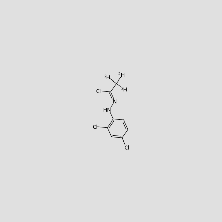 [2H]C([2H])([2H])/C(Cl)=N/Nc1ccc(Cl)cc1Cl